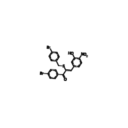 O=C(C(=Cc1ccc([N+](=O)[O-])c(O)c1)SCc1ccc(Br)cc1)c1ccc(Br)cc1